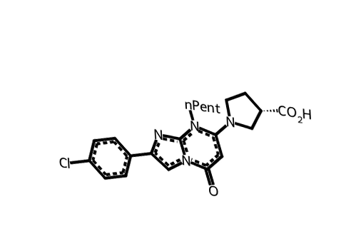 CCCCCn1c(N2CC[C@H](C(=O)O)C2)cc(=O)n2cc(-c3ccc(Cl)cc3)nc12